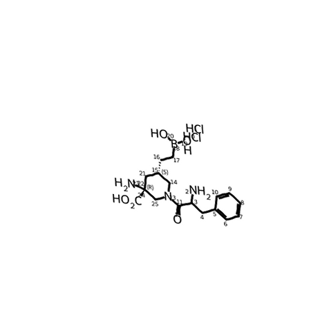 Cl.Cl.NC(Cc1ccccc1)C(=O)N1C[C@@H](CCB(O)O)C[C@](N)(C(=O)O)C1